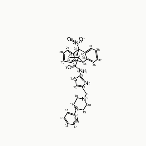 CC1(C(=O)Nc2nc(CN3CCN(c4ccccn4)CC3)cs2)CC2([N+](=O)[O-])c3ccccc3C1c1ccccc12